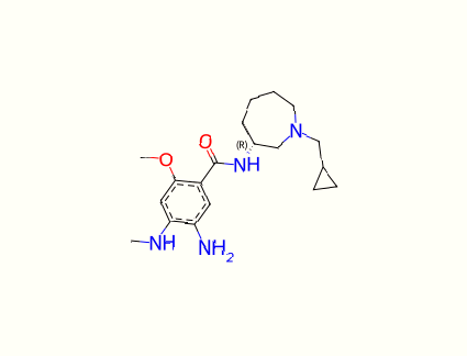 CNc1cc(OC)c(C(=O)N[C@@H]2CCCCN(CC3CC3)C2)cc1N